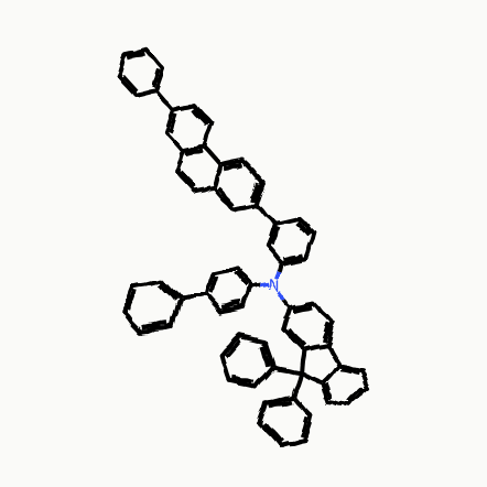 c1ccc(-c2ccc(N(c3cccc(-c4ccc5c(ccc6cc(-c7ccccc7)ccc65)c4)c3)c3ccc4c(c3)C(c3ccccc3)(c3ccccc3)c3ccccc3-4)cc2)cc1